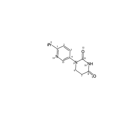 CC(C)c1ccc(N2CCC(=O)NC2=O)cn1